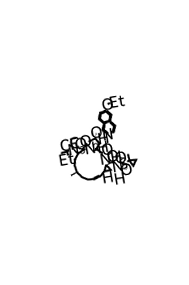 CCOc1ccc2c(O[C@@H]3C[C@H]4C(=O)N[C@]5(C(=O)NS(=O)(=O)C6(C)CC6)C[C@H]5/C=C\CC[C@@H](C)C[C@@H](CC)[C@H](N(C(=O)O)C(C)(C)C(F)(F)F)C(=O)N4C3)nccc2c1